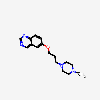 CN1CCN(CCCOc2ccc3ncncc3c2)CC1